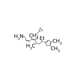 CCC(CC(C)/C(CCC1CC1)=C(C)\C=C/CN)C1=CC(C)=C(C)C1